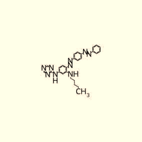 CCCCCNc1cc(Nc2ncncn2)ccc1N=Nc1ccc(N=Nc2ccccc2)cc1